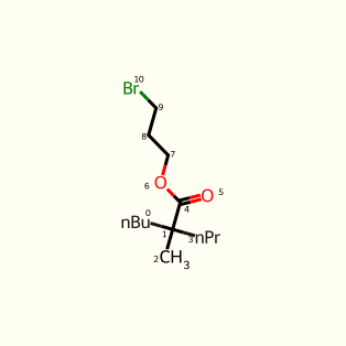 CCCCC(C)(CCC)C(=O)OCCCBr